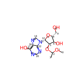 COC(C)O[C@@H]1[C@H](O)[C@@H](CO)O[C@H]1n1cnc2c(O)ncnc21